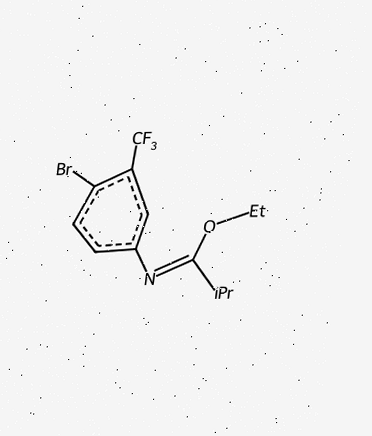 CCO/C(=N\c1ccc(Br)c(C(F)(F)F)c1)C(C)C